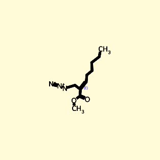 CCCCC/C=C(\CN=[N+]=[N-])C(=O)OC